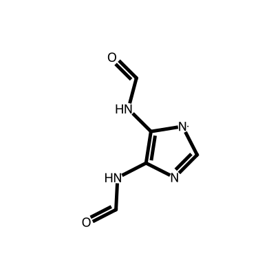 O=CNC1=C(NC=O)N=C[N]1